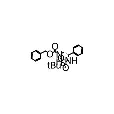 CC(C)(C)S(=O)(=O)N[C@H](CNC(=O)OCc1ccccc1)c1ccccc1